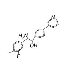 Cc1ccc(C(N)C(O)c2ccc(-c3cccnc3)cc2)cc1F